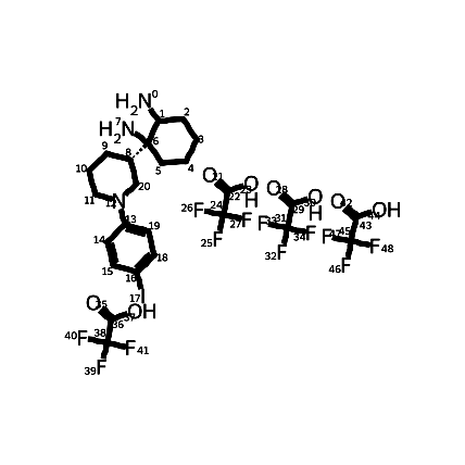 NC1CCCCC1(N)[C@H]1CCCN(c2ccc(I)cc2)C1.O=C(O)C(F)(F)F.O=C(O)C(F)(F)F.O=C(O)C(F)(F)F.O=C(O)C(F)(F)F